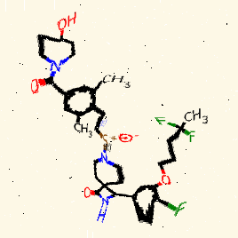 Cc1cc(C(=O)N2CCC(O)CC2)cc(C)c1/C=C/[S@+]([O-])N1CCC2(CC1)C(=O)NC2c1ccc(F)c(OCCCC(C)(F)F)c1